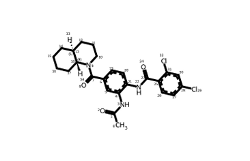 CC(=O)Nc1cc(C(=O)N2CCC[C@@H]3CCCC[C@H]32)ccc1NC(=O)c1ccc(Cl)cc1Cl